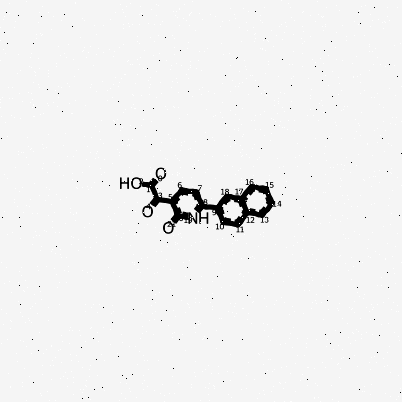 O=C(O)C(=O)c1ccc(-c2ccc3ccccc3c2)[nH]c1=O